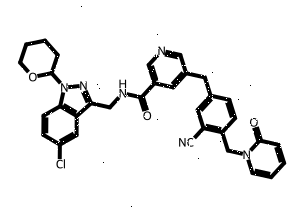 N#Cc1cc(Cc2cncc(C(=O)NCc3nn(C4CCCCO4)c4ccc(Cl)cc34)c2)ccc1Cn1ccccc1=O